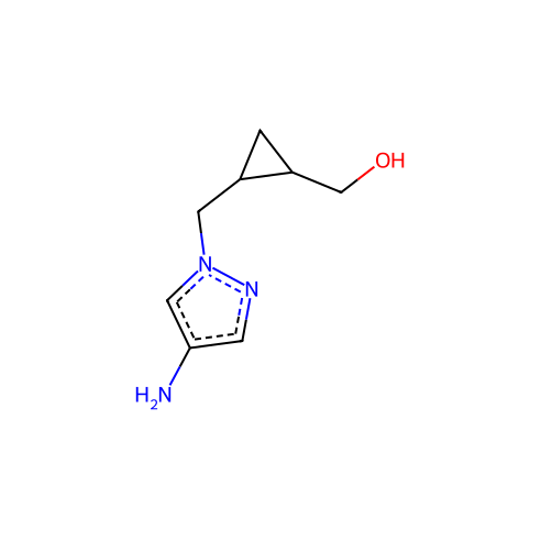 Nc1cnn(CC2CC2CO)c1